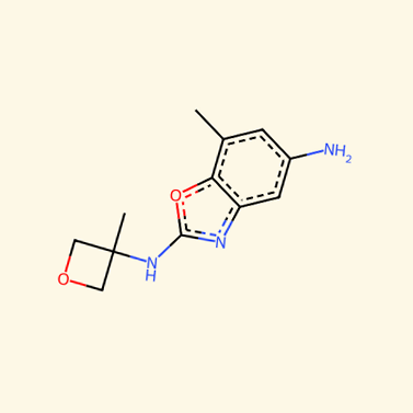 Cc1cc(N)cc2nc(NC3(C)COC3)oc12